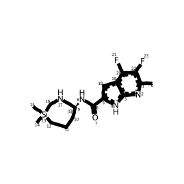 Cc1nc2[nH]c(C(=O)N[C@@H]3CCC[Si](C)(C)CN3)cc2c(F)c1F